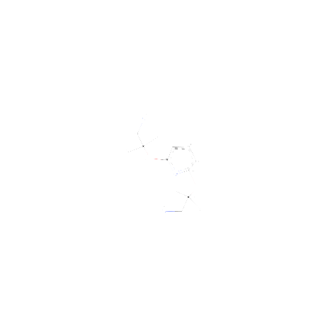 CC(C)(CN)Oc1cccc(OC(C)(C)CN)n1